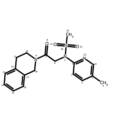 Cc1ccc(N(CC(=O)N2CCc3ccccc3C2)S(C)(=O)=O)nc1